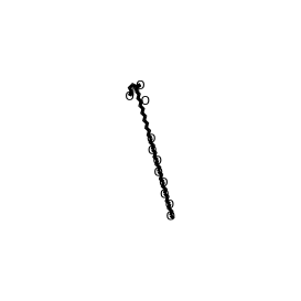 COCCOCCOCCOCCOCCOCCOCCOCCCCCCCCCC(=O)CCN1C(=O)CCC1=O